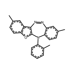 Cc1ccc2c(c1)N=Nc1c(oc3ccc(C)cc13)N2c1ccccc1C